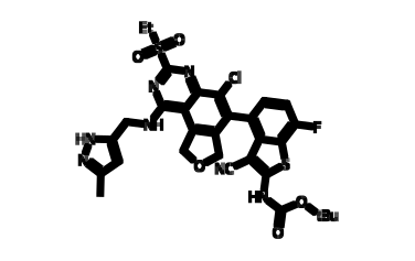 CCS(=O)(=O)c1nc(NCc2cc(C)n[nH]2)c2c3c(c(-c4ccc(F)c5sc(NC(=O)OC(C)(C)C)c(C#N)c45)c(Cl)c2n1)COC3